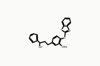 COc1cc(CCC(O)c2ccccc2)ccc1Oc1nc2ccccc2s1